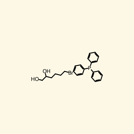 OCC(O)CCCCBr.c1ccc(P(c2ccccc2)c2ccccc2)cc1